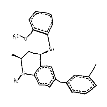 CC(=O)N1c2ccc(-c3cccc(C)c3)cc2[C@H](Nc2ccccc2OC(F)(F)F)C[C@@H]1C